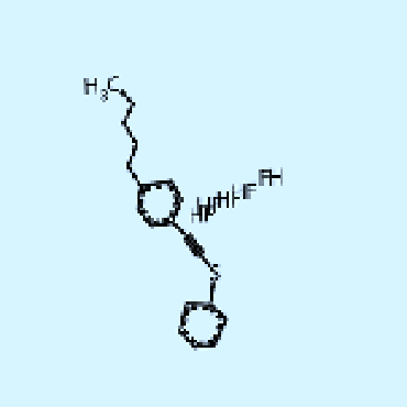 CCCCCc1ccc(C#CSc2ccccc2)cc1.F.F.F.F.F